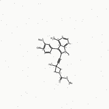 COc1cc(-c2c(C#CC3(O)CN(C(=O)OC(C)(C)C)C3)n(C)c3ncnc(N)c23)ccc1Cl